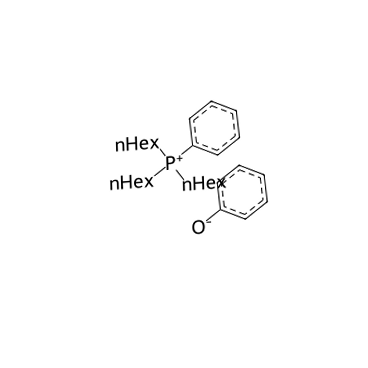 CCCCCC[P+](CCCCCC)(CCCCCC)c1ccccc1.[O-]c1ccccc1